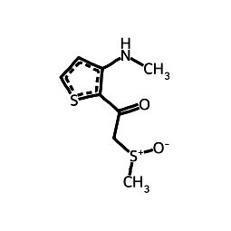 CNc1ccsc1C(=O)C[S+](C)[O-]